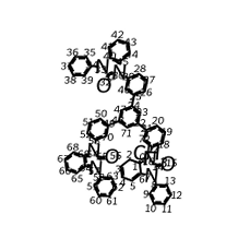 C[C@]12CC=CC=C1N(c1ccccc1)C(=O)N2c1cccc(-c2cc(-c3cccc(-n4c(=O)n(-c5ccccc5)c5ccccc54)c3)cc(-c3cccc(-n4c(=O)n(-c5ccccc5)c5ccccc54)c3)c2)c1